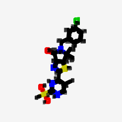 Cc1cnc(S(C)(=O)=O)nc1-c1nc2c(s1)C(C)(C)N(Cc1cccc(Cl)c1)C2=O